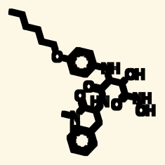 CCCCCCOc1ccc(NC(C(=O)NC(Cc2ccccc2)C(=O)NC)C(O)C(=O)NO)cc1